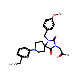 CC(C)(C)C(=O)CN1C(=O)N(Cc2ccc(OC(F)(F)F)cc2)C2(CCN(c3cccc(CC(=O)O)c3)CC2)C1=O